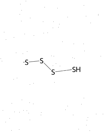 [S]SSS